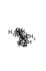 Cc1cc(Nc2cc(C(F)(F)F)ccn2)nc(C(=O)NNC(=O)OC(C)(C)C)c1